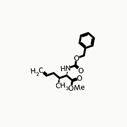 C=CC[C@H](C)[C@H](NC(=O)OCc1ccccc1)C(=O)OC